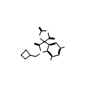 Cc1cc(Cl)cc2c1N(CC1CCC1)C(=O)C21NC(=O)NC1=O